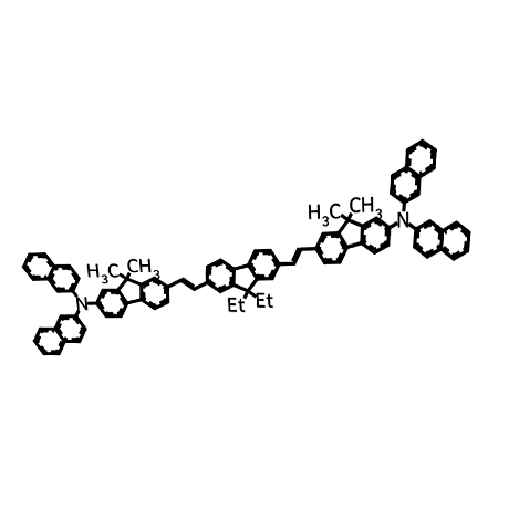 CCC1(CC)c2cc(/C=C/c3ccc4c(c3)C(C)(C)c3cc(N(c5ccc6ccccc6c5)c5ccc6ccccc6c5)ccc3-4)ccc2-c2ccc(/C=C/c3ccc4c(c3)C(C)(C)c3cc(N(c5ccc6ccccc6c5)c5ccc6ccccc6c5)ccc3-4)cc21